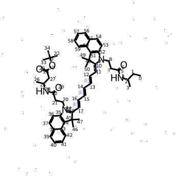 CCC(C)NC(=O)CCN1/C(=C/C=C/C=C/C=C/C2=[N+](CCC(=O)NC(C)CC(=O)OC(C)(C)C)c3ccc4ccccc4c3C2(C)C)C(C)(C)c2c1ccc1ccccc21